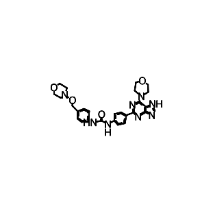 O=C(Nc1ccc(CON2CCOCC2)cc1)Nc1ccc(-c2nc(N3CCOCC3)c3[nH]cnc3n2)cc1